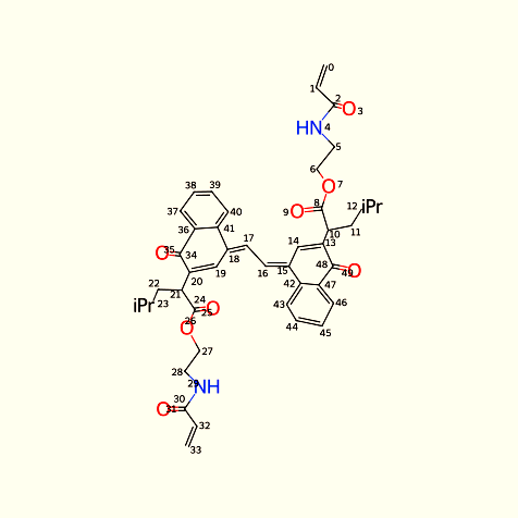 C=CC(=O)NCCOC(=O)C(CC(C)C)C1=C/C(=C\C=C2/C=C(C(CC(C)C)C(=O)OCCNC(=O)C=C)C(=O)c3ccccc32)c2ccccc2C1=O